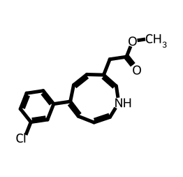 COC(=O)Cc1ccc(-c2cccc(Cl)c2)ccc[nH]c1